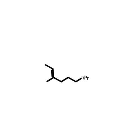 [CH2]CCCCCC(C)=CC